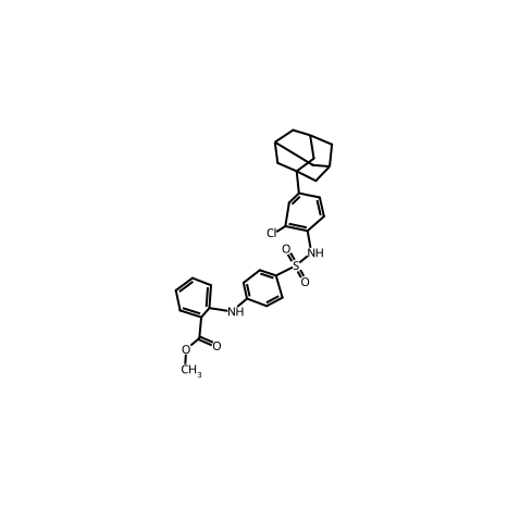 COC(=O)c1ccccc1Nc1ccc(S(=O)(=O)Nc2ccc(C34CC5CC(CC(C5)C3)C4)cc2Cl)cc1